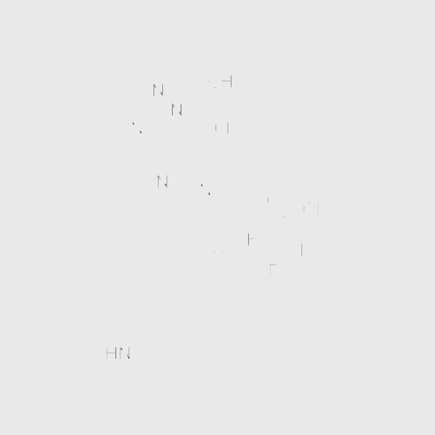 CC(C)n1ncnc1-c1cn2c(n1)-c1ccc(C3CCNCC3)cc1OCC2.O=C(O)C(F)(F)F